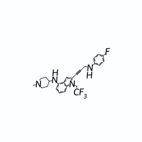 CN1CCC(Nc2cccc3c2cc(C#CCNc2ccc(F)cc2)n3CC(F)(F)F)CC1